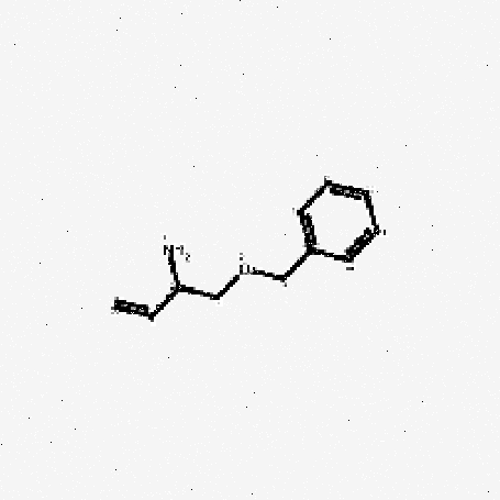 C=CC(N)COCc1ccccc1